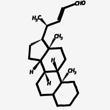 C[C@H](/C=C/C=O)[C@H]1CC[C@H]2[C@@H]3CCC4CCCC[C@]4(C)[C@H]3CC[C@]12C